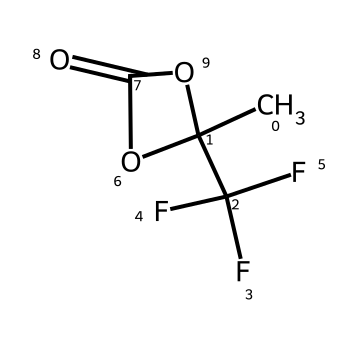 CC1(C(F)(F)F)OC(=O)O1